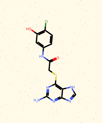 Nc1nc(SCC(=O)Nc2ccc(Cl)c(O)c2)c2[nH]cnc2n1